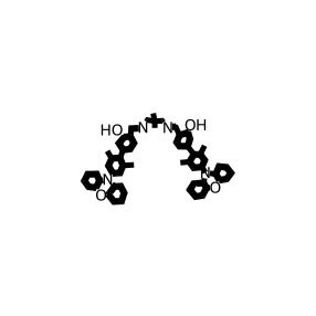 Cc1cc(N2c3ccccc3Oc3ccccc32)cc(C)c1-c1ccc(/C=N/CC(C)(C)C/N=C/c2ccc(-c3c(C)cc(N4c5ccccc5Oc5ccccc54)cc3C)cc2O)c(O)c1